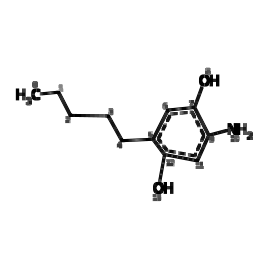 CCCCCc1cc(O)c(N)cc1O